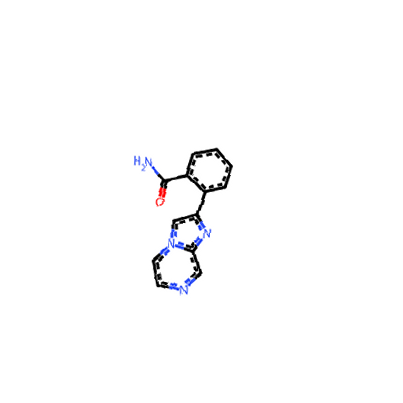 NC(=O)c1ccccc1-c1cn2ccncc2n1